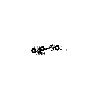 Cc1ccc(S(=O)(=O)OCCCc2ccc(N)c(C(=N)S(=O)(=O)c3ccccc3)c2)cc1